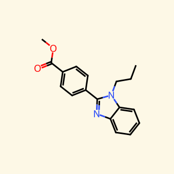 CCCn1c(-c2ccc(C(=O)OC)cc2)nc2ccccc21